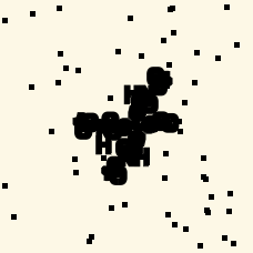 C=C(C)C(=O)OCCNC(=O)Oc1ccc(C(=C(c2ccc(OC(=O)NCCOC(=O)C(=C)C)cc2)c2ccc(OC(=O)NCCOC(=O)C(=C)C)cc2)c2ccc(OC=O)cc2)cc1